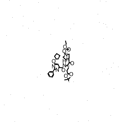 CCOC(=O)ON1CCN(C(=O)[C@H](CCC(=O)OC(C)(C)C)NC(=O)c2cc(OC3CCCC3)nc(-c3ccccc3)n2)CC1